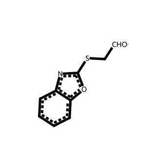 O=[C]CSc1nc2ccccc2o1